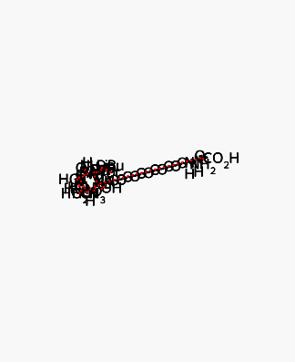 CCC(=O)N[C@H](C(=O)NCC(=O)N[C@@H]1C[S+]([O-])c2[nH]c3c(CSCCOCCOCCOCCOCCOCCOCCOCCOCCOCCOCCOCCN/C=C(\N)CNC(=O)CCC(=O)O)c(O)ccc3c2C[C@@H](C(N)=O)NC(=O)[C@H]([C@@H](C)[C@@H](O)CO)NC(=O)[C@@H]2C[C@@H](O)CN2C(=O)[C@H](CCC(N)=O)NC1=O)[C@@H](C)CC